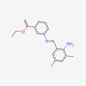 C=C(OCC)c1cccc(/N=C/c2cc(C)cc(C)c2N)c1